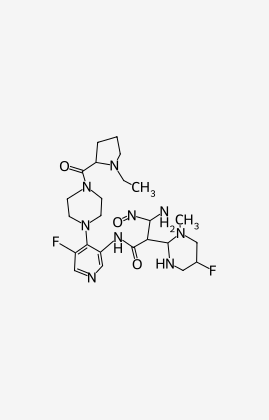 CCN1CCCC1C(=O)N1CCN(c2c(F)cncc2NC(=O)C(C(N)N=O)C2NCC(F)CN2C)CC1